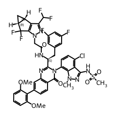 COc1cccc(OC)c1-c1ccc2c(=O)n(-c3ccc(Cl)c4c(NS(C)(=O)=O)nn(C)c34)c([C@H](Cc3cc(F)cc(F)c3)NC(=O)Cn3nc(C(F)F)c4c3C(F)(F)[C@@H]3C[C@H]43)nc2c1